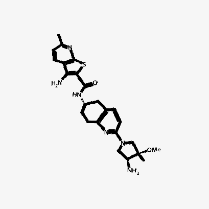 CO[C@]1(C)CN(c2ccc3c(n2)CC[C@H](NC(=O)c2sc4nc(C)ccc4c2N)C3)C[C@@H]1N